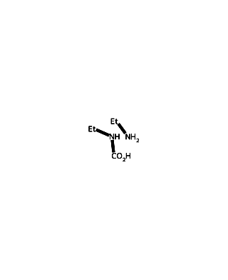 CCN.CCNC(=O)O